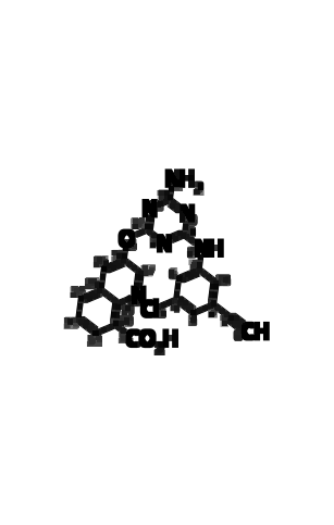 C#Cc1cc(Cl)cc(Nc2nc(N)nc(Oc3cnc4c(C(=O)O)cccc4c3)n2)c1